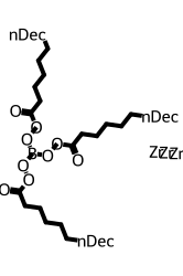 CCCCCCCCCCCCCCCC(=O)OOB(OOC(=O)CCCCCCCCCCCCCCC)OOC(=O)CCCCCCCCCCCCCCC.[Zr].[Zr].[Zr]